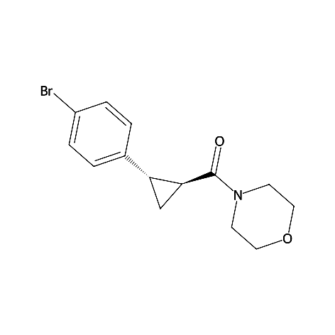 O=C([C@H]1C[C@@H]1c1ccc(Br)cc1)N1CCOCC1